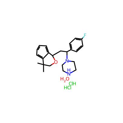 CC1(C)COC(CC(c2ccc(F)cc2)N2CCNCC2)c2ccccc21.Cl.Cl.O